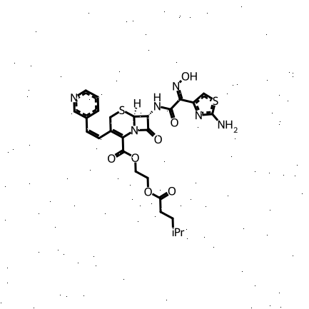 CC(C)CCC(=O)OCCOC(=O)C1=C(/C=C\c2cccnc2)CS[C@H]2[C@H](NC(=O)C(=NO)c3csc(N)n3)C(=O)N12